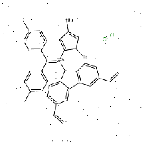 C=Cc1ccc2c(c1)-c1cc(C=C)ccc1[CH]2[Zr+2]([C]1=CC(C(C)(C)C)=CC1CC)=[C](c1ccc(C)cc1)c1ccc(C)cc1.[Cl-].[Cl-]